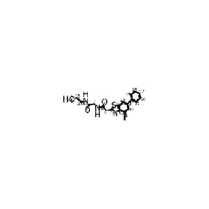 O=C(CNC(=O)Cc1nc2c(F)cc(-c3ccccc3)cc2s1)NCCO